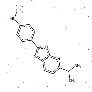 CNc1ccc(-c2nc3ccc(C(C)N)nc3o2)cc1